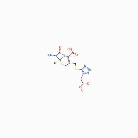 COC(=O)Cn1nnnc1SCC1=C(C(=O)O)N2C(=O)C(N)[C@@H]2SC1